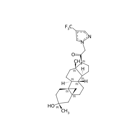 C[C@@]1(O)CC[C@@]23C[C@@]2(CC[C@H]2[C@@H]4CC[C@H](C(=O)Cn5cc(C(F)(F)F)cn5)[C@@]4(C)CC[C@@H]23)C1